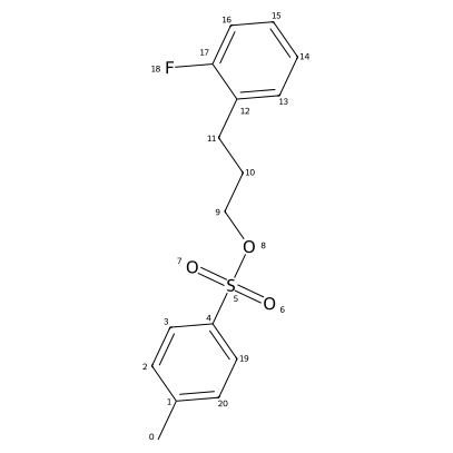 Cc1ccc(S(=O)(=O)OCCCc2ccccc2F)cc1